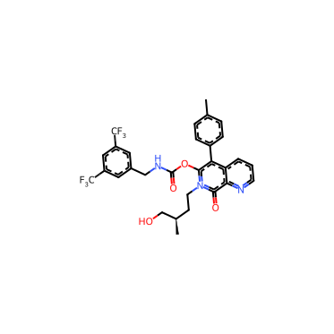 Cc1ccc(-c2c(OC(=O)NCc3cc(C(F)(F)F)cc(C(F)(F)F)c3)n(CC[C@@H](C)CO)c(=O)c3ncccc23)cc1